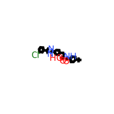 CC(C)(C)c1ccc(C(=O)NC(Cc2ccc(-c3ncc(-c4cccc(Cl)c4)cn3)cc2)C(=O)O)cc1